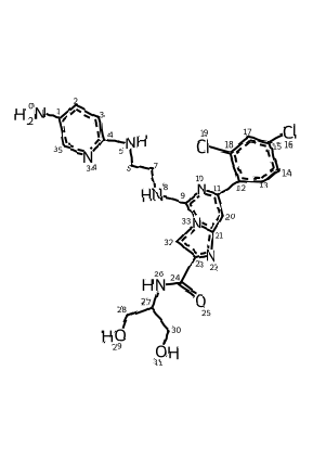 Nc1ccc(NCCNc2nc(-c3ccc(Cl)cc3Cl)cc3nc(C(=O)NC(CO)CO)cn23)nc1